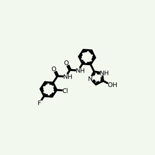 O=C(NC(=O)c1ccc(F)cc1Cl)Nc1ccccc1-c1ncc(O)[nH]1